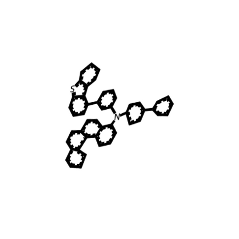 c1ccc(-c2ccc(N(c3cccc(-c4cccc5sc6ccccc6c45)c3)c3cccc4c3ccc3ccc5ccccc5c34)cc2)cc1